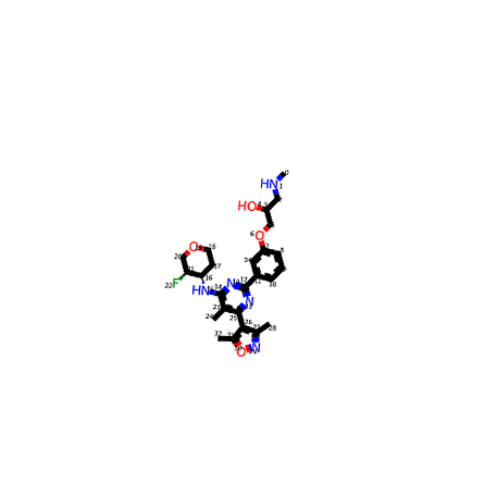 CNCC(O)COc1cccc(-c2nc(N[C@H]3CCOC[C@@H]3F)c(C)c(-c3c(C)noc3C)n2)c1